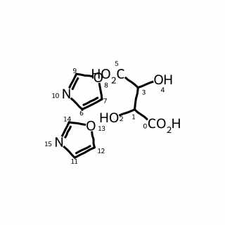 O=C(O)C(O)C(O)C(=O)O.c1cocn1.c1cocn1